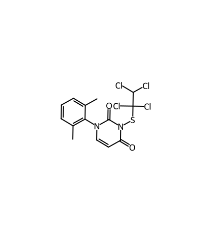 Cc1cccc(C)c1-n1ccc(=O)n(SC(Cl)(Cl)C(Cl)Cl)c1=O